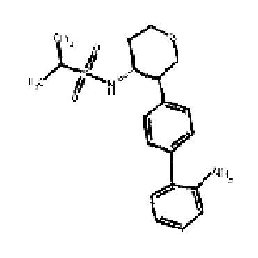 CC(C)S(=O)(=O)N[C@@H]1CCOC[C@H]1c1ccc(-c2ccccc2N)cc1